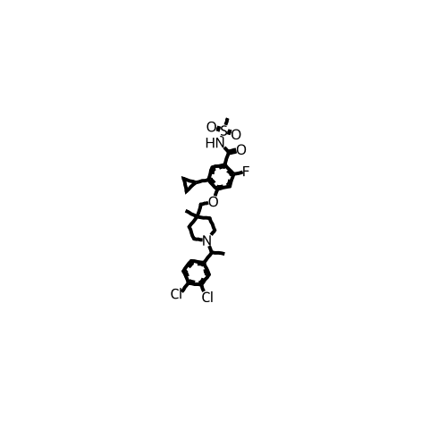 CC(c1ccc(Cl)c(Cl)c1)N1CCC(C)(COc2cc(F)c(C(=O)NS(C)(=O)=O)cc2C2CC2)CC1